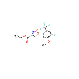 CCOC(=O)c1cc(-c2cc(OC)c(F)cc2C(F)(F)F)on1